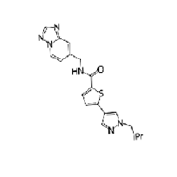 CC(C)Cn1cc(-c2ccc(C(=O)NCc3ccn4ncnc4c3)s2)cn1